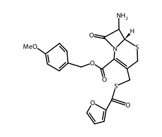 COc1ccc(COC(=O)C2=C(CSC(=O)c3ccco3)CS[C@H]3C(N)C(=O)N23)cc1